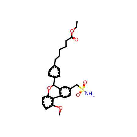 CCOC(=O)CCCCCc1ccc(C2Oc3cccc(OC)c3-c3ccc(CS(N)(=O)=O)cc32)cc1